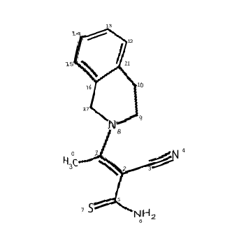 C/C(=C(/C#N)C(N)=S)N1CCc2ccccc2C1